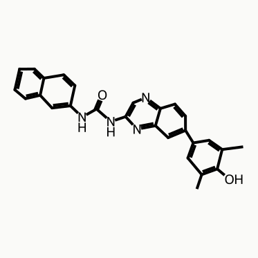 Cc1cc(-c2ccc3ncc(NC(=O)Nc4ccc5ccccc5c4)nc3c2)cc(C)c1O